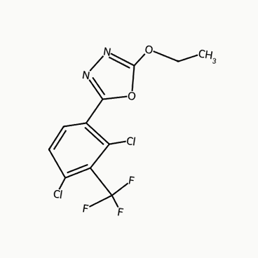 CCOc1nnc(-c2ccc(Cl)c(C(F)(F)F)c2Cl)o1